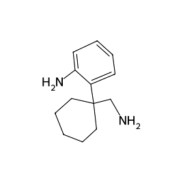 NCC1(c2ccccc2N)CCCCC1